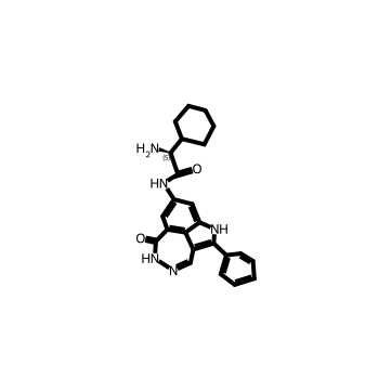 N[C@H](C(=O)Nc1cc2c3c(c(-c4ccccc4)[nH]c3c1)C=NNC2=O)C1CCCCC1